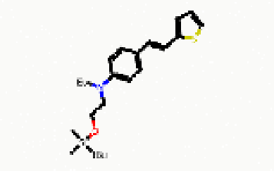 CCN(CCO[Si](C)(C)C(C)(C)C)c1ccc(C=Cc2cccs2)cc1